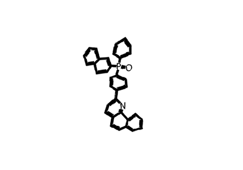 O=P(c1ccccc1)(c1ccc(-c2ccc3ccc4ccccc4c3n2)cc1)c1ccc2ccccc2c1